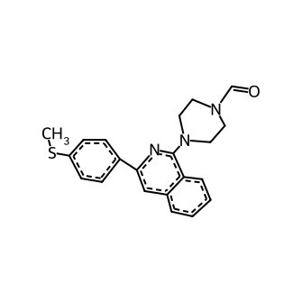 CSc1ccc(-c2cc3ccccc3c(N3CCN(C=O)CC3)n2)cc1